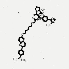 Cc1ncsc1-c1ccc([C@H](C)NC(=O)[C@@]2(O)CCCN2C(=O)[C@@H](NC(=O)COCCCCCOc2ccc3nc(-c4ccc(N(C)C)cc4)ccc3c2)C(C)(C)C)cc1